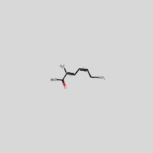 COC(=O)/C(C)=C/C=C\C[N+](=O)[O-]